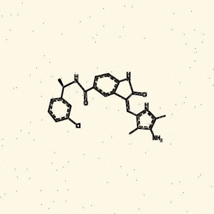 Cc1[nH]c(/C=C2\C(=O)Nc3ccc(C(=O)N[C@H](C)c4cccc(Cl)c4)cc32)c(C)c1N